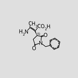 CC(N)=C(C(=O)O)[C@@H]1CC(=O)N(Cc2ccccc2)C1=O